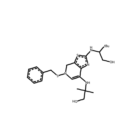 CC(C)(CO)NC1=CN(SCc2ccccc2)Cc2sc(NC(CO)C(C)(C)C)nc21